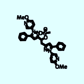 COc1ccc(-n2nc(CC(OS(C)(=O)=O)c3cc(-c4ccccc4)n(-c4ccc(OC)nc4)n3)cc2-c2ccccc2)cn1